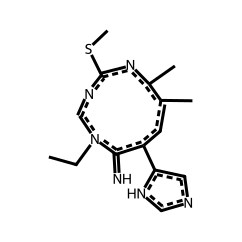 CCn1cnc(SC)nc(C)c(C)cc(-c2cnc[nH]2)c1=N